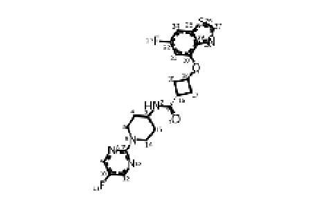 O=C(NC1CCN(c2ncc(F)cn2)CC1)[C@H]1C[C@H](Oc2cc(F)cc3scnc23)C1